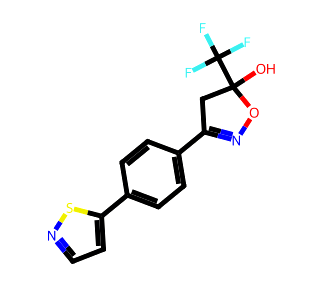 OC1(C(F)(F)F)CC(c2ccc(-c3ccns3)cc2)=NO1